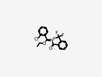 CCOC(=NC(=O)c1ccccc1C(F)(F)F)c1ccccc1Cl